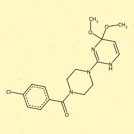 COC1(OC)C=CNC(N2CCN(C(=O)c3ccc(Cl)cc3)CC2)=N1